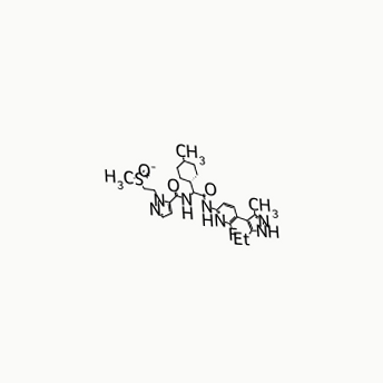 CCc1[nH]nc(C)c1-c1ccc(NC(=O)[C@@H](NC(=O)c2ccnn2CC[S+](C)[O-])[C@H]2CC[C@H](C)CC2)nc1F